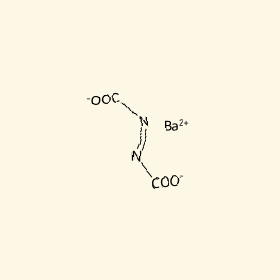 O=C([O-])N=NC(=O)[O-].[Ba+2]